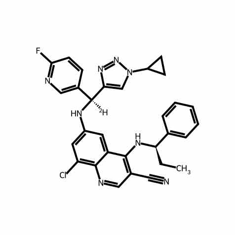 [2H][C@](Nc1cc(Cl)c2ncc(C#N)c(N[C@H](CC)c3ccccc3)c2c1)(c1ccc(F)nc1)c1cn(C2CC2)nn1